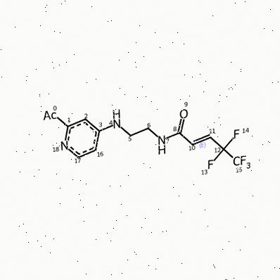 CC(=O)c1cc(NCCNC(=O)/C=C/C(F)(F)C(F)(F)F)ccn1